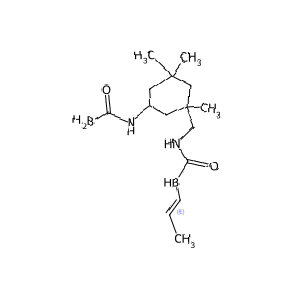 BC(=O)NC1CC(C)(C)CC(C)(CNC(=O)B/C=C/C)C1